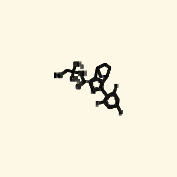 CC(C)(CO)NC(=O)c1nn(-c2c(F)cc(F)cc2F)c2c1C1CCC2C1